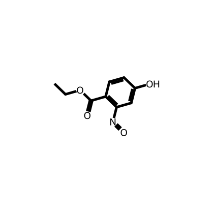 CCOC(=O)c1ccc(O)cc1N=O